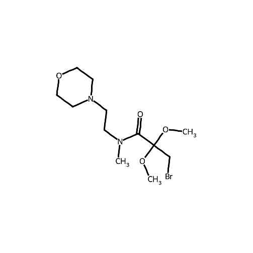 COC(CBr)(OC)C(=O)N(C)CCN1CCOCC1